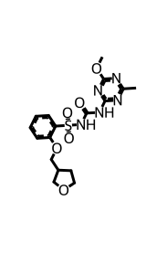 COc1nc(C)nc(NC(=O)NS(=O)(=O)c2ccccc2OCC2CCOC2)n1